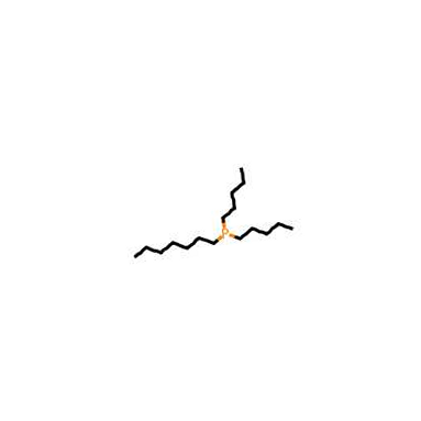 CCCCCCCP(CCCCC)CCCCC